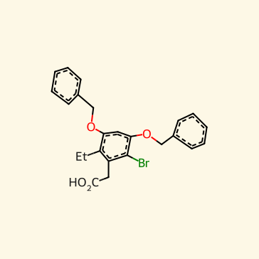 CCc1c(OCc2ccccc2)cc(OCc2ccccc2)c(Br)c1CC(=O)O